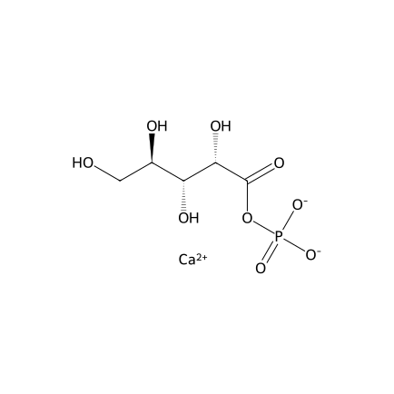 O=C(OP(=O)([O-])[O-])[C@@H](O)[C@H](O)[C@H](O)CO.[Ca+2]